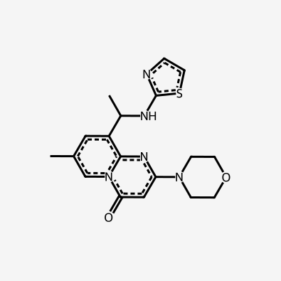 Cc1cc(C(C)Nc2nccs2)c2nc(N3CCOCC3)cc(=O)n2c1